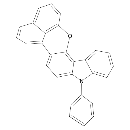 c1ccc(-n2c3ccccc3c3c4c(ccc32)-c2cccc3cccc(c23)O4)cc1